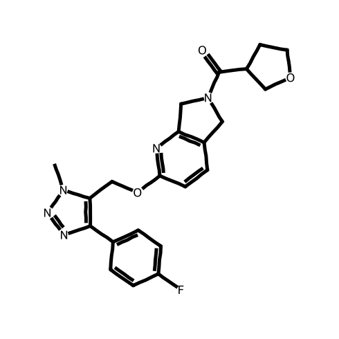 Cn1nnc(-c2ccc(F)cc2)c1COc1ccc2c(n1)CN(C(=O)C1CCOC1)C2